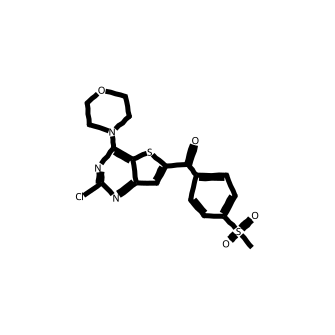 CS(=O)(=O)c1ccc(C(=O)c2cc3nc(Cl)nc(N4CCOCC4)c3s2)cc1